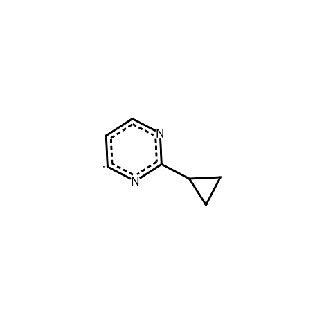 [c]1ccnc(C2CC2)n1